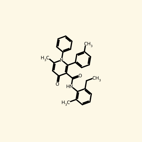 CCc1cccc(C)c1NC(=O)c1c(-c2cccc(C)c2)n(-c2ccccc2)c(C)cc1=O